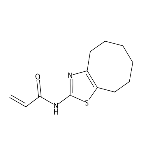 C=CC(=O)Nc1nc2c(s1)CCCCCC2